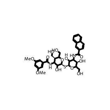 COc1cc(OC)cc(C(=O)NC2C(O)[C@H](S[C@@H]3OC(CO)[C@H](O)C(NC(=O)c4ccc5ccccc5c4)C3O)OC(CO)[C@@H]2CO)c1